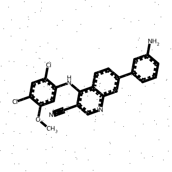 COc1cc(Nc2c(C#N)cnc3cc(-c4cccc(N)c4)ccc23)c(Cl)cc1Cl